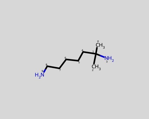 CC(C)(N)CCCCCN